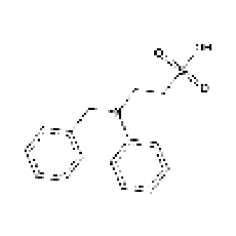 O=S(=O)(O)CCN(Cc1ccccc1)c1ccccc1